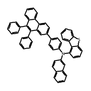 c1ccc(-c2c(-c3ccccc3)c3cc(-c4ccc(N(c5ccc6ccccc6c5)c5cccc6sc7ccccc7c56)cc4)ccc3c3ccccc23)cc1